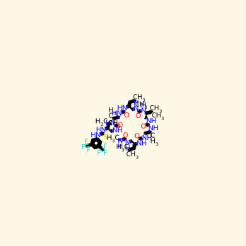 CNC(=O)NC[C@H](CC(C)C)NC(=O)NC[C@H](C)NC(=O)NC[C@@H](NC(=O)NC[C@H](CC(C)C)NC(=O)NC[C@H](C)NC(=O)NC[C@@H](NC(=S)Nc1cc(C(F)(F)F)cc(C(F)(F)F)c1)C(C)C)C(C)C